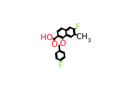 Cc1cc2c(OCc3ccc(F)cc3)c(C(=O)O)ccc2cc1F